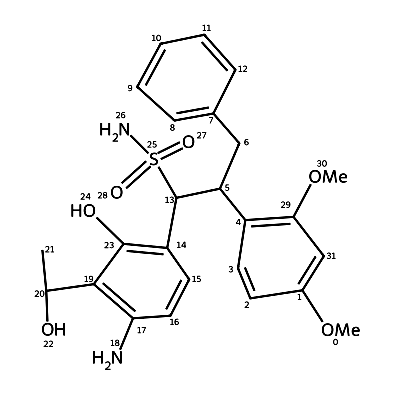 COc1ccc(C(Cc2ccccc2)C(c2ccc(N)c(C(C)O)c2O)S(N)(=O)=O)c(OC)c1